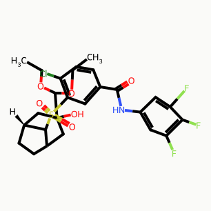 CCOC(OCC)C1(O)CC2CC[C@H](C1)C2S(=O)(=O)c1cc(C(=O)Nc2cc(F)c(F)c(F)c2)ccc1Cl